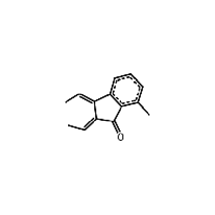 C/C=C1\C(=C/C)C(=O)c2c(C)cccc21